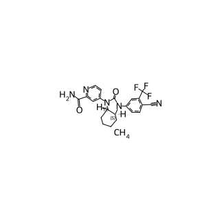 C.N#Cc1ccc(N2C(=O)N(c3ccnc(C(N)=O)c3)[C@H]3CCCC[C@@H]32)cc1C(F)(F)F